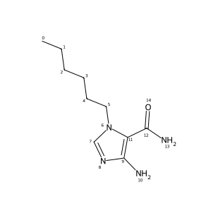 CCCCCCn1cnc(N)c1C(N)=O